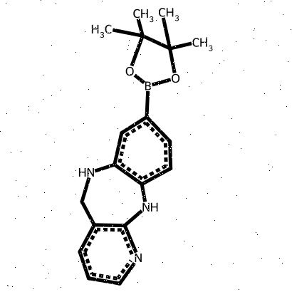 CC1(C)OB(c2ccc3c(c2)NCc2cccnc2N3)OC1(C)C